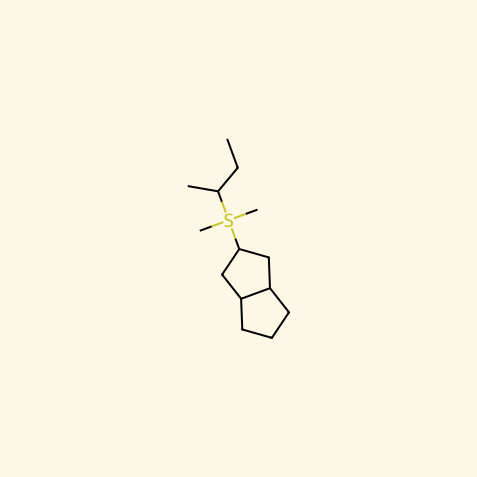 CCC(C)S(C)(C)C1CC2CCCC2C1